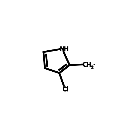 [CH2]c1[nH]ccc1Cl